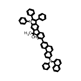 CC1(C)c2cc(-c3ccc4c(ccc5cc(N(c6ccccc6)c6cccc7ccccc67)ccc54)c3)ccc2-c2cc3c(-c4ccccc4)c(-c4ccccc4)n(-c4ccccc4)c3cc21